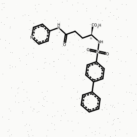 O=C(CC[C@H](NS(=O)(=O)c1ccc(-c2ccccc2)cc1)C(=O)O)Nc1ccncc1